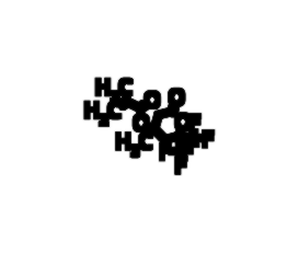 C=C(C)C(=O)OC1(C)CC(=O)OC(C(F)(F)F)(C(F)(F)F)C1